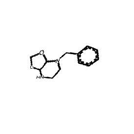 c1ccc(CN2CCNC3OCOC32)cc1